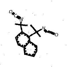 CC(C)(N=C=O)c1ccc2ccccc2c1C(C)(C)N=C=O